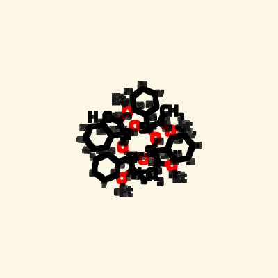 CCOC(C)[Si]1(C2CCCCC2)O[Si](C2CCCCC2)(C(C)OCC)O[Si](C2CCCCC2)(C(C)OCC)O[Si](C2CCCCC2)(C(C)OCC)O1